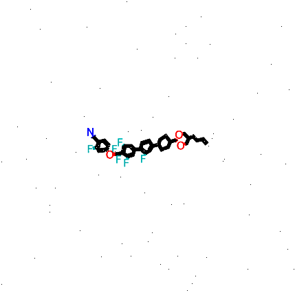 C=CCCC1COC(C2CCC(c3ccc(-c4cc(F)c(C(F)(F)Oc5ccc(C#N)c(F)c5)c(F)c4)c(F)c3)CC2)OC1